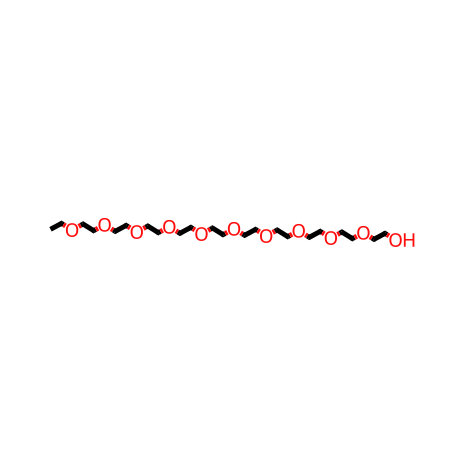 CCOCCOCCOCCOCCOCCOCCOCCOCCOCCOCCO